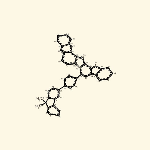 CC1(C)c2ccccc2-c2cc(-c3ccc(-c4cc5c6ccccc6sc5c5nc6c7cc8ccccc8cc7ccc6n45)cc3)ccc21